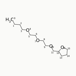 CCCCOCCOCCOCC1CCCO1